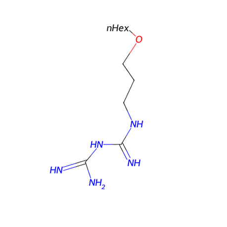 CCCCCCOCCCNC(=N)NC(=N)N